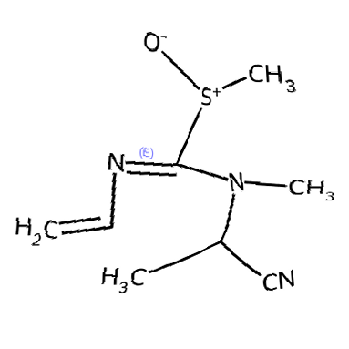 C=C/N=C(\N(C)C(C)C#N)[S+](C)[O-]